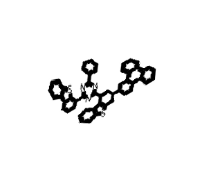 C1=C(c2nc(-c3ccccc3)nc(-c3cccc4c3sc3ccccc34)n2)c2c(sc3ccccc23)CC1c1ccc2c3ccccc3c3ccccc3c2c1